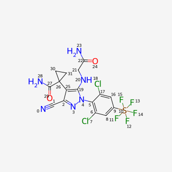 N#Cc1nn(-c2c(Cl)cc(S(F)(F)(F)(F)F)cc2Cl)c(NCC(N)=O)c1C1(C(N)=O)CC1